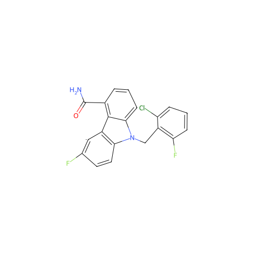 NC(=O)c1cccc2c1c1[c]c(F)ccc1n2Cc1c(F)cccc1Cl